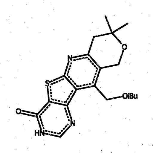 CC(C)COCc1c2c(nc3sc4c(=O)[nH]cnc4c13)CC(C)(C)OC2